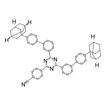 N#Cc1ccc(-c2nc(-c3cccc(-c4ccc(C56CC7C[C@H](C5)C[C@@H](C7)C6)cc4)c3)nc(-c3cccc(-c4ccc(C56C[C@H]7C[C@@H](C5)C[C@@H](C6)C7)cc4)c3)n2)cc1